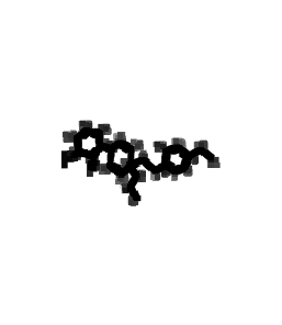 CCCC1(CCc2ccc(CC)cc2)C=CC(c2cccc(F)c2F)C=C1